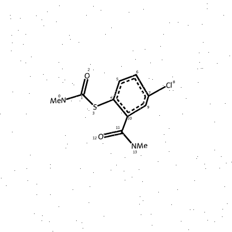 CNC(=O)Sc1ccc(Cl)cc1C(=O)NC